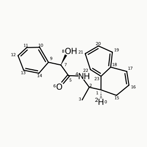 [2H][C@@]1(C(C)NC(=O)[C@H](O)c2ccccc2)CC=Cc2ccccc21